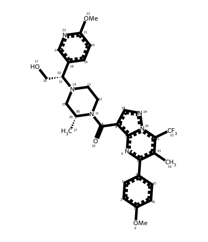 COc1ccc(-c2nc3c(C(=O)N4CCN([C@H](CO)c5ccc(OC)nc5)C[C@H]4C)cnn3c(C(F)(F)F)c2C)cc1